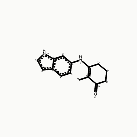 CC1=C(Nc2ccc3cc[nH]c3c2)CCCC1=O